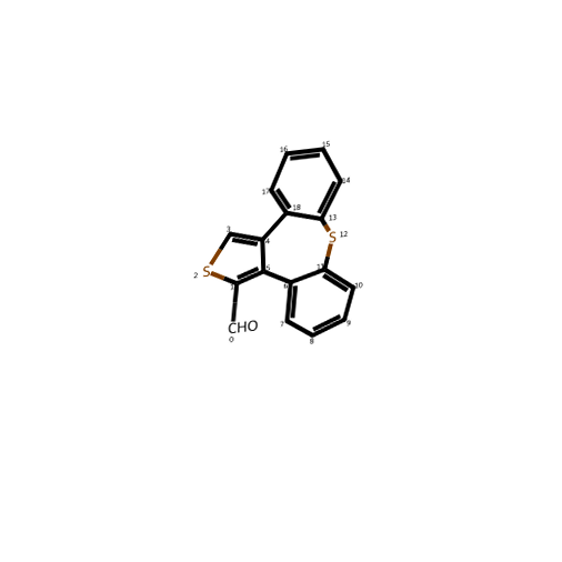 O=Cc1scc2c1-c1ccccc1Sc1ccccc1-2